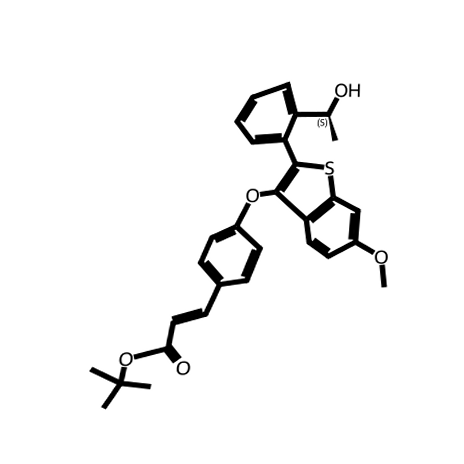 COc1ccc2c(Oc3ccc(C=CC(=O)OC(C)(C)C)cc3)c(-c3ccccc3[C@H](C)O)sc2c1